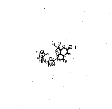 Cc1cc(-c2nnc(N[C@@H]3CCOC3)o2)nc2c(C(C)(C)C)cc(O)cc12